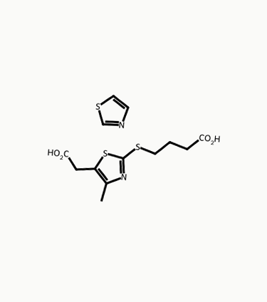 Cc1nc(SCCCC(=O)O)sc1CC(=O)O.c1cscn1